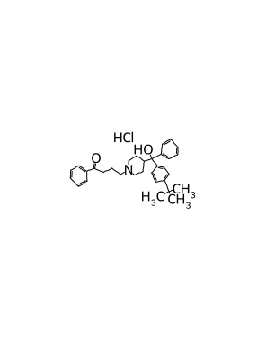 CC(C)(C)c1ccc(C(O)(c2ccccc2)C2CCN(CCCC(=O)c3ccccc3)CC2)cc1.Cl